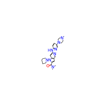 CN1CCN(c2ccc(Nc3cc4c(cn3)cc(C(=O)N(C)C)n4N3CCCCC3)nc2)CC1